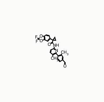 Cc1cc(C=O)ccc1-c1nc(NC(=O)C2(c3ccc4c(c3)OC(F)(F)O4)CC2)ccc1C